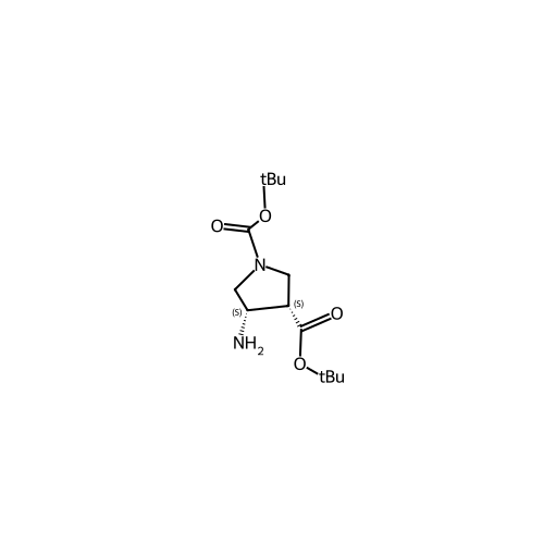 CC(C)(C)OC(=O)[C@H]1CN(C(=O)OC(C)(C)C)C[C@H]1N